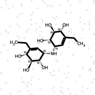 CCC1=C[C@H](N[C@H]2C=C(CC)[C@@H](O)[C@H](O)[C@H]2O)[C@H](O)[C@@H](O)[C@@H]1O